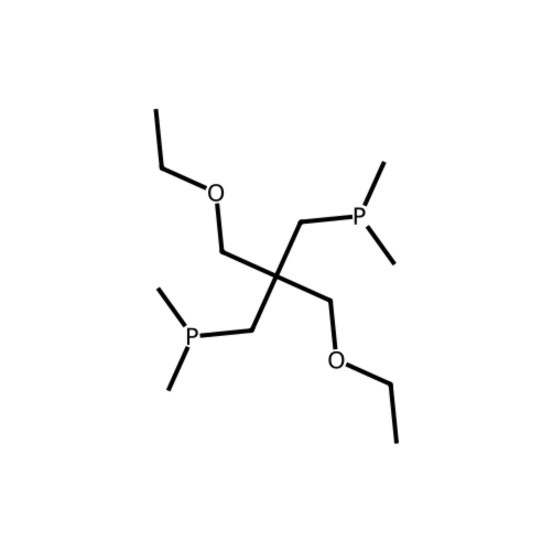 CCOCC(COCC)(CP(C)C)CP(C)C